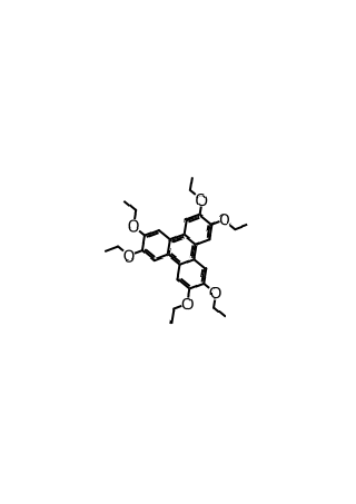 CCOc1cc2c3cc(OCC)c(OCC)cc3c3cc(OCC)c(OCC)cc3c2cc1OCC